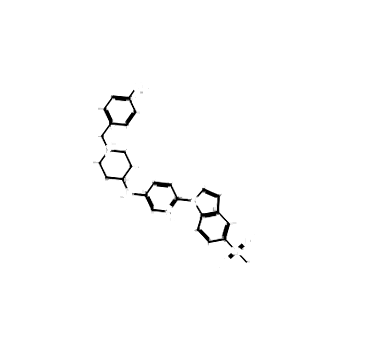 CS(=O)(=O)c1ccc2c(ccn2-c2ccc(OC3CCN(Cc4ccc(C(F)(F)F)cc4)CC3)cn2)c1